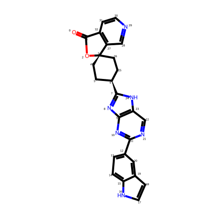 O=C1O[C@]2(CC[C@H](c3nc4nc(-c5ccc6[nH]ccc6c5)ncc4[nH]3)CC2)c2cnccc21